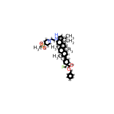 C=C(C)[C@@H]1CC[C@]2(NCCN3CCC(S(C)(=O)=O)CC3)CC[C@]3(C)[C@H](CCC4[C@@]5(C)CC=C(C6=CC[C@@](CF)(C(=O)OCc7ccccc7)CC6)C(C)(C)C5CC[C@]43C)[C@@H]12